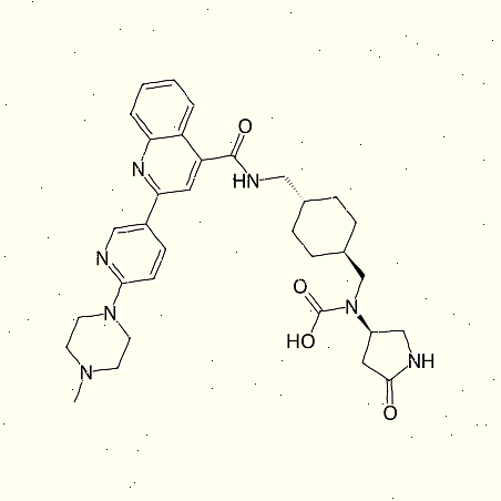 CN1CCN(c2ccc(-c3cc(C(=O)NC[C@H]4CC[C@H](CN(C(=O)O)[C@H]5CNC(=O)C5)CC4)c4ccccc4n3)cn2)CC1